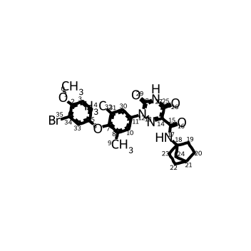 COc1ccc(Oc2c(C)cc(-n3nc(C(=O)NC45CCC(CC4)C5)c(=O)[nH]c3=O)cc2C)cc1Br